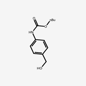 CCCCOC(=O)Nc1ccc(CO)cc1